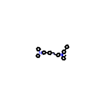 Cc1ccccc1N(c1ccc(/C=C/c2ccc(-c3ccc(N(c4ccccc4)c4ccccc4)cc3)cc2)cc1)c1ccc(-c2ccccc2)cc1